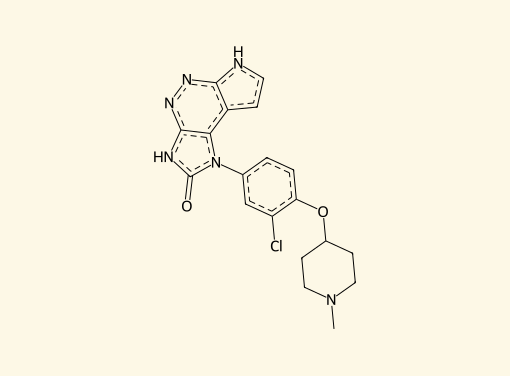 CN1CCC(Oc2ccc(-n3c(=O)[nH]c4nnc5[nH]ccc5c43)cc2Cl)CC1